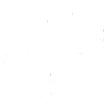 CC(C)(C)c1cc(C(c2ccc(O)c(C(C)(C)C)c2)c2cc(C34CC5CC(C3)CC(c3ccc(O)c(C(c6ccc(O)c(C(C)(C)C)c6)c6ccc(O)c(C(C)(C)C)c6)c3)(C5)C4)ccc2O)ccc1O